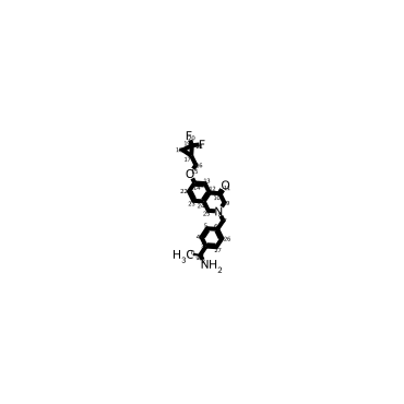 C[C@H](N)c1ccc(CN2CC(=O)c3cc(OCC4CC4(F)F)ccc3C2)cc1